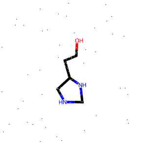 OCCC1CNCN1